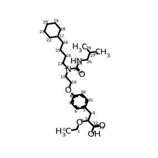 CCOC(Cc1ccc(OCCN(CCCCC2CCCCC2)C(=O)NCC(C)C)cc1)C(=O)O